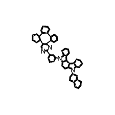 c1cc(-c2ncc3c(n2)-c2ccccc2-c2ccccc2-c2ccccc2-3)cc(-n2c3ccccc3c3c4c5ccccc5n(-c5ccc6ccccc6c5)c4ccc32)c1